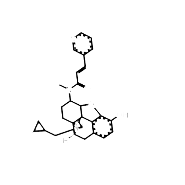 CN(C(=O)/C=C/c1cccnc1)C1CC[C@@]2(O)[C@H]3Cc4ccc(O)c5c4[C@@]2(CCN3CC2CC2)C1O5